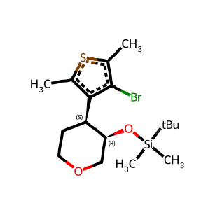 Cc1sc(C)c([C@@H]2CCOC[C@@H]2O[Si](C)(C)C(C)(C)C)c1Br